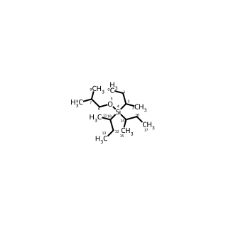 CCC(C)[Si](OCC(C)C)(C(C)CC)C(C)CC